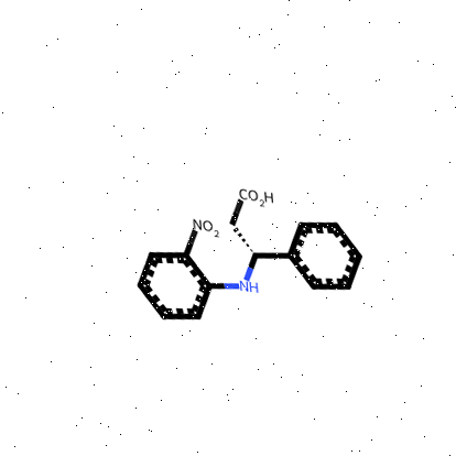 O=C(O)C[C@@H](Nc1ccccc1[N+](=O)[O-])c1ccccc1